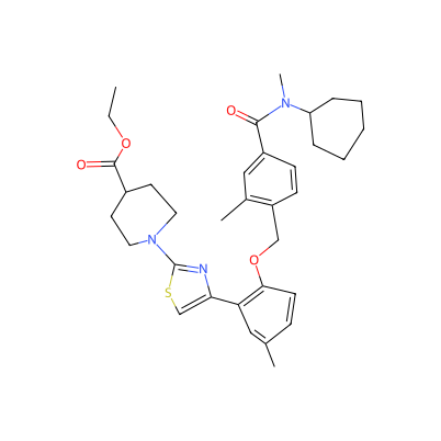 CCOC(=O)C1CCN(c2nc(-c3cc(C)ccc3OCc3ccc(C(=O)N(C)C4CCCCC4)cc3C)cs2)CC1